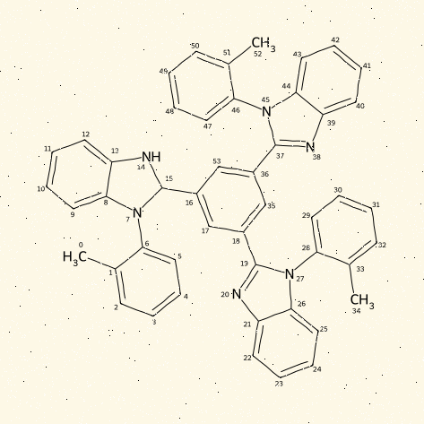 Cc1ccccc1N1c2ccccc2NC1c1cc(-c2nc3ccccc3n2-c2ccccc2C)cc(-c2nc3ccccc3n2-c2ccccc2C)c1